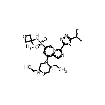 CC[C@H]1CO[C@@H](CO)CN1c1cc(S(=O)(=O)NC2(C)COC2)cn2c(-c3nnc(C(F)F)s3)ncc12